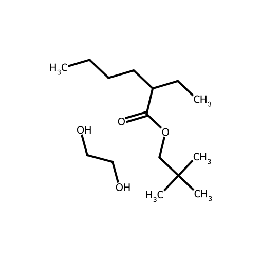 CCCCC(CC)C(=O)OCC(C)(C)C.OCCO